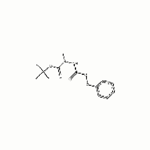 CN(NC(=O)OOc1ccccc1)C(=O)OC(C)(C)C